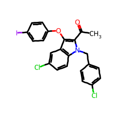 CC(=O)c1c(Oc2ccc(I)cc2)c2cc(Cl)ccc2n1Cc1ccc(Cl)cc1